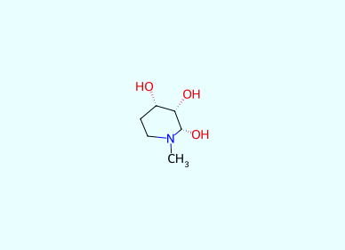 CN1CC[C@H](O)[C@H](O)[C@@H]1O